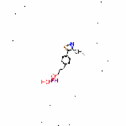 Cc1ncsc1-c1ccc(CCCOPO)cc1